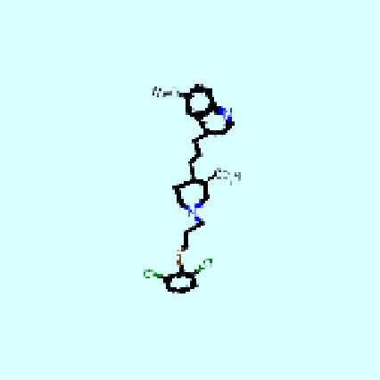 COc1ccc2nccc(CCC[C@@H]3CCN(CCCSc4c(Cl)cccc4Cl)C[C@@H]3C(=O)O)c2c1